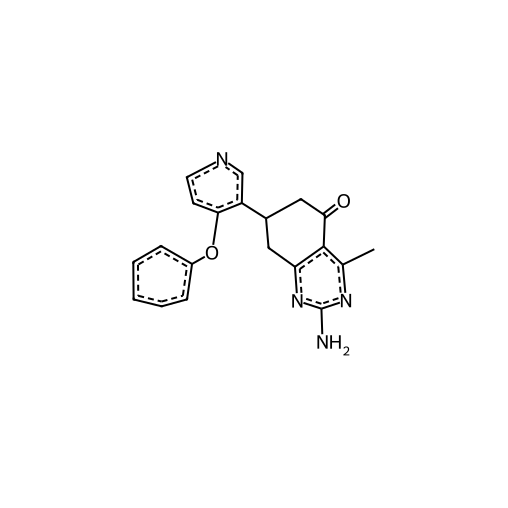 Cc1nc(N)nc2c1C(=O)CC(c1cnccc1Oc1ccccc1)C2